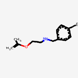 C=C(C)OCCNCc1ccc(CC)cc1